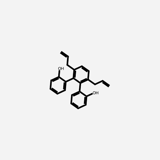 C=CCc1ccc(CC=C)c(-c2ccccc2O)c1-c1ccccc1O